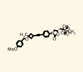 COc1ccc(COC2(C)CC(C#Cc3ccc(N4C[C@H](C[C@](C)(C(=O)O)S(C)(=O)=O)OC4=O)cc3)C2)cc1